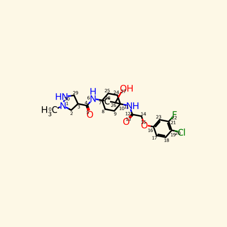 CN1CC(C(=O)NC23CCC(NC(=O)COc4ccc(Cl)c(F)c4)(CC2)C(O)C3)CN1